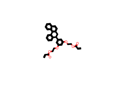 C=CC(=O)OCCOc1cc(OCCOC(=O)C=C)cc(C2Cc3ccc4ccccc4c3-c3ccccc32)c1